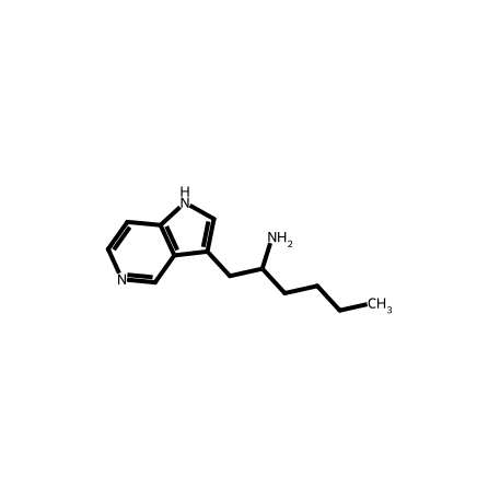 CCCCC(N)Cc1c[nH]c2ccncc12